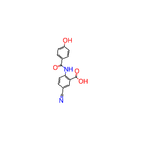 N#Cc1ccc(NC(=O)c2ccc(O)cc2)c(C(=O)O)c1